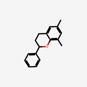 Cc1cc(C)c2c(c1)CCC(c1ccccc1)O2